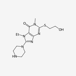 CCn1c(N2CCNCC2)nc2nc(SCCO)n(C)c(=O)c21